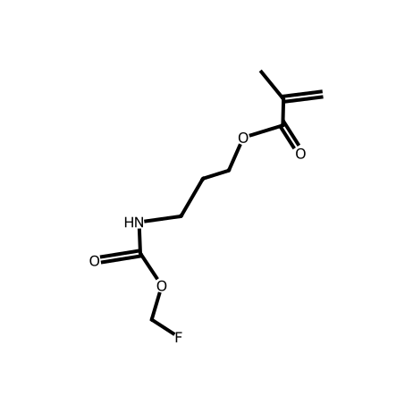 C=C(C)C(=O)OCCCNC(=O)OCF